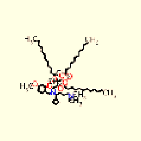 C=C(CCCCCCCCCCC)OC(COC(=O)CCCCCCCCCCC)C(CN(Cc1ccc(OC)cc1OC)C(CCCN(C)C)=C1CCC1)OC(=O)CCCCCCCCCCC